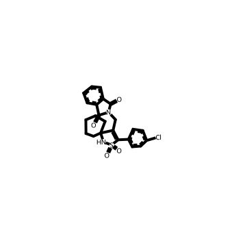 O=C1c2ccccc2C(=O)N1CC1=C(c2ccc(Cl)cc2)S(=O)(=O)NC12CCCCC2